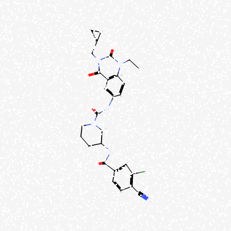 CCn1c(=O)n(CC2CC2)c(=O)c2cc(NC(=O)N3CCCC(NC(=O)c4ccc(C#N)c(Cl)c4)C3)ccc21